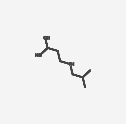 CC(C)CPCCC(O)O